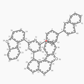 c1ccc2cc(-c3ccc(-c4nc(-c5cccc6oc7ccccc7c56)nc(-c5cccc6ccc7oc8ccccc8c7c56)n4)cc3)ccc2c1